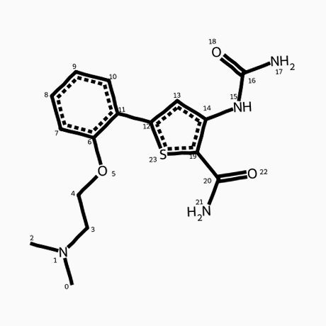 CN(C)CCOc1ccccc1-c1cc(NC(N)=O)c(C(N)=O)s1